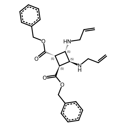 C=CCN[C@@H]1[C@@H](NCC=C)[C@@H](C(=O)OCc2ccccc2)[C@@H]1C(=O)OCc1ccccc1